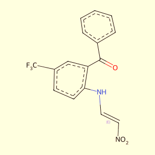 O=C(c1ccccc1)c1cc(C(F)(F)F)ccc1N/C=C/[N+](=O)[O-]